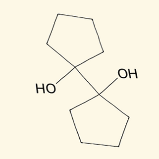 OC1(C2(O)CCCC2)CCCC1